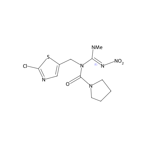 CN/C(=N\[N+](=O)[O-])N(Cc1cnc(Cl)s1)C(=O)N1CCCC1